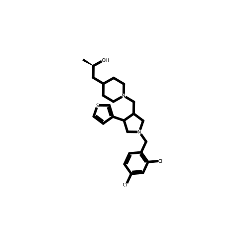 C[C@@H](O)CC1CCN(CC2CN(Cc3ccc(Cl)cc3Cl)CC2c2ccsc2)CC1